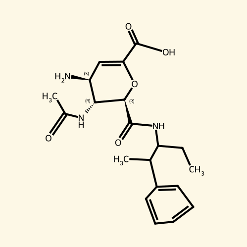 CCC(NC(=O)[C@@H]1OC(C(=O)O)=C[C@H](N)[C@H]1NC(C)=O)C(C)c1ccccc1